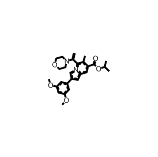 C=C(c1c(C)c(C(=O)OC(C)C)cc2cc(-c3cc(OC)cc(OC)c3)cn12)N1CCOCC1